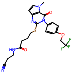 Cn1ccc2nc(SCCCC(=O)NCCC#N)n(-c3ccc(OCC(F)(F)F)cc3)c(=O)c21